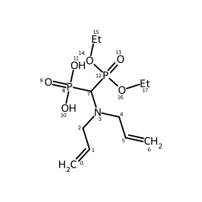 C=CCN(CC=C)C(P(=O)(O)O)P(=O)(OCC)OCC